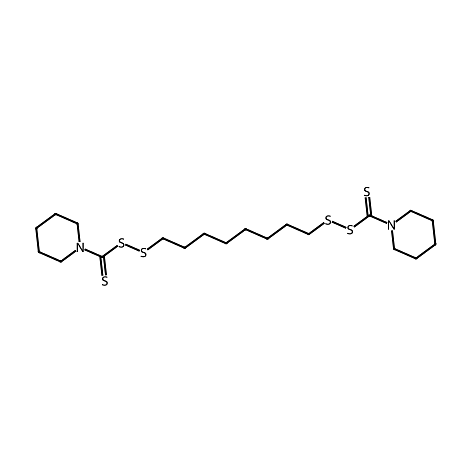 S=C(SSCCCCCCCCSSC(=S)N1CCCCC1)N1CCCCC1